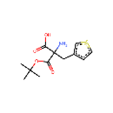 CC(C)(C)OC(=O)C(N)(Cc1ccsc1)C(=O)O